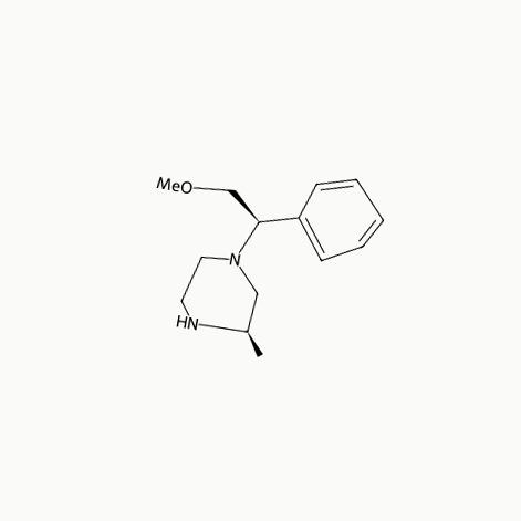 COC[C@@H](c1ccccc1)N1CCN[C@H](C)C1